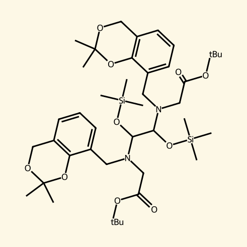 CC(C)(C)OC(=O)CN(Cc1cccc2c1OC(C)(C)OC2)C(O[Si](C)(C)C)C(O[Si](C)(C)C)N(CC(=O)OC(C)(C)C)Cc1cccc2c1OC(C)(C)OC2